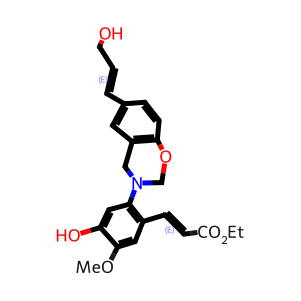 CCOC(=O)/C=C/c1cc(OC)c(O)cc1N1COc2ccc(/C=C/CO)cc2C1